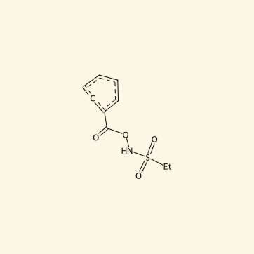 CCS(=O)(=O)NOC(=O)c1ccccc1